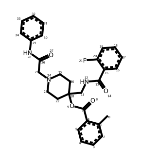 Cc1ccccc1C(=O)OC1(CNC(=O)c2ccccc2F)CCN(CC(=O)Nc2ccccc2)CC1